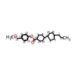 CCCC1CCC(C2CCC(C(=O)Oc3ccc(COC)cc3)CC2)CC1